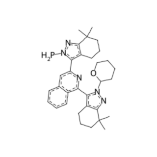 CC1(C)CCCc2c1nn(P)c2-c1cc2ccccc2c(-c2c3c(nn2C2CCCCO2)C(C)(C)CCC3)n1